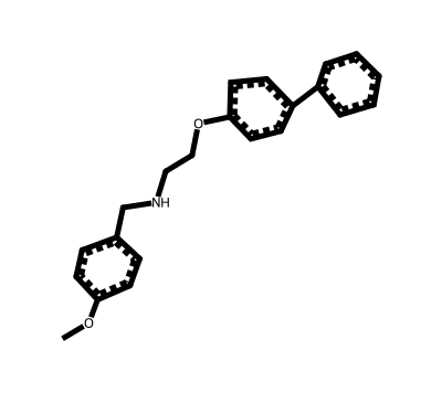 COc1ccc(CNCCOc2ccc(-c3ccccc3)cc2)cc1